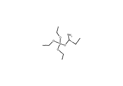 CCO[Si](OCC)(OCC)OC(N)CC